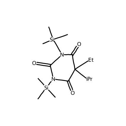 CCC1(C(C)C)C(=O)N([Si](C)(C)C)C(=O)N([Si](C)(C)C)C1=O